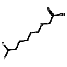 O=C(O)CSCCCCCC(F)F